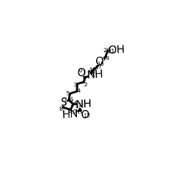 O=C(CCCCC1SCC2NC(=O)NC21)NCCOCCO